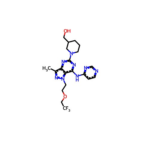 Cc1nn(CCOCC(F)(F)F)c2c(Nc3ccncn3)nc(N3CCCC(CO)C3)nc12